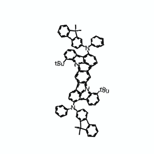 CC(C)(C)c1cccc2c3c(N(c4ccccc4)c4ccc5c(c4)C(C)(C)c4ccccc4-5)ccc4c5cc6c(cc5n(c12)c43)c1ccc(N(c2ccccc2)c2ccc3c(c2)C(C)(C)c2ccccc2-3)c2c3cccc(C(C)(C)C)c3n6c12